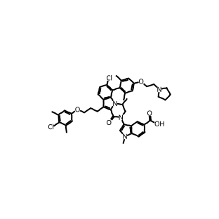 Cc1cc(OCCCc2c3n(c4c(-c5c(C)cc(OCCN6CCCC6)cc5C)c(Cl)ccc24)C(C)CN(c2cn(C)c4ccc(C(=O)O)cc24)C3=O)cc(C)c1Cl